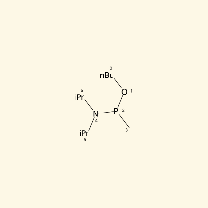 CCCCOP(C)N(C(C)C)C(C)C